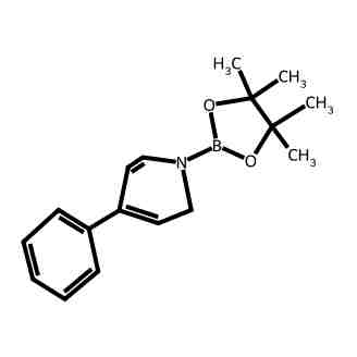 CC1(C)OB(N2C=CC(c3ccccc3)=CC2)OC1(C)C